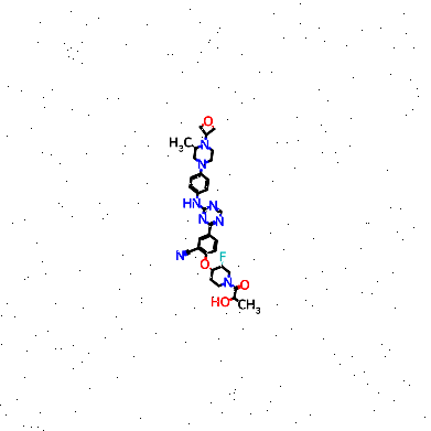 CC(O)C(=O)N1CC[C@H](Oc2ccc(-c3ncnc(Nc4ccc(N5CCN(C6COC6)[C@@H](C)C5)cc4)n3)cc2C#N)[C@H](F)C1